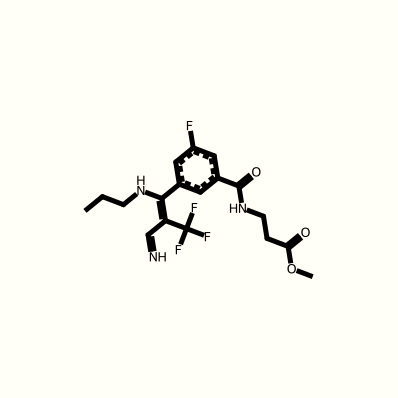 CCCN/C(=C(\C=N)C(F)(F)F)c1cc(F)cc(C(=O)NCCC(=O)OC)c1